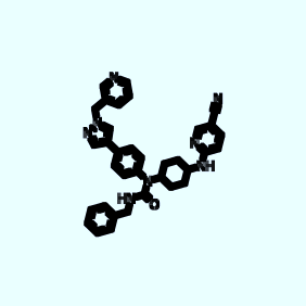 N#Cc1ccc(NC2CCC(N(C(=O)NCc3ccccc3)c3ccc(-c4cnn(Cc5cccnc5)c4)cc3)CC2)nc1